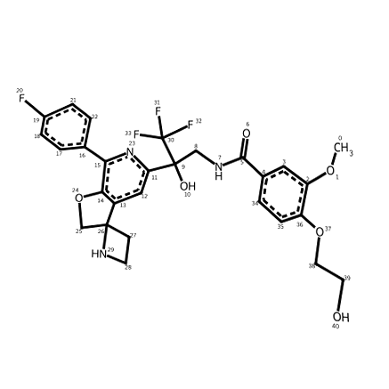 COc1cc(C(=O)NCC(O)(c2cc3c(c(-c4ccc(F)cc4)n2)OCC32CCN2)C(F)(F)F)ccc1OCCO